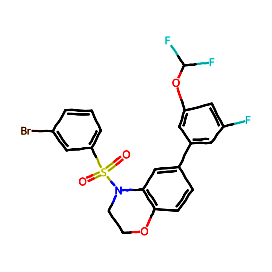 O=S(=O)(c1cccc(Br)c1)N1CCOc2ccc(-c3cc(F)cc(OC(F)F)c3)cc21